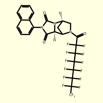 O=C1[C@@H]2C3C[C@H](CN3C(=O)C(F)(F)C(F)(F)C(F)(F)C(F)(F)C(F)(F)C(F)(F)C(F)(F)F)N2C(=O)N1c1cccc2ccccc12